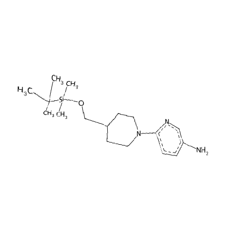 CC(C)(C)[Si](C)(C)OCC1CCN(c2ccc(N)cn2)CC1